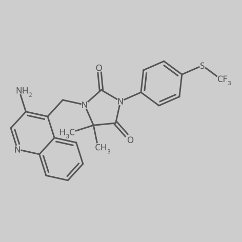 CC1(C)C(=O)N(c2ccc(SC(F)(F)F)cc2)C(=O)N1Cc1c(N)cnc2ccccc12